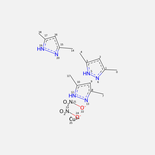 Cc1cc(C)[nH]n1.Cc1cc(C)[nH]n1.Cc1cc(C)[nH]n1.O=[N+]([O-])[O-].O=[N+]([O-])[O-].[Cu+2]